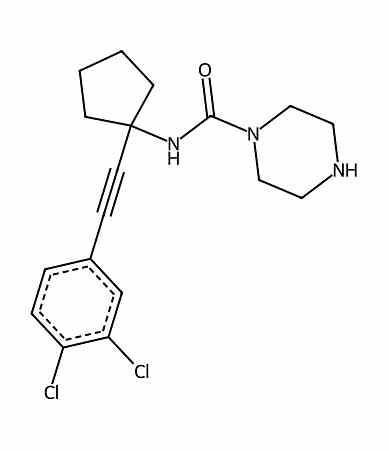 O=C(NC1(C#Cc2ccc(Cl)c(Cl)c2)CCCC1)N1CCNCC1